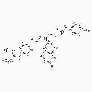 CCOC(Cc1ccc(OCCN(CCCOCc2ccc(F)cc2)C(=O)Oc2ccc(F)cc2F)cc1)C(=O)O